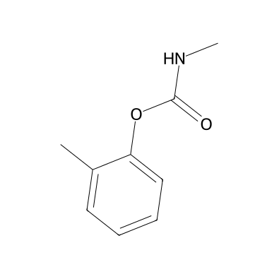 CNC(=O)Oc1ccccc1C